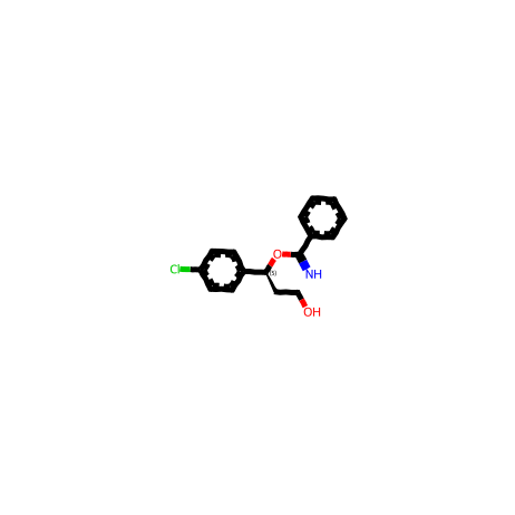 N=C(O[C@@H](CCO)c1ccc(Cl)cc1)c1ccccc1